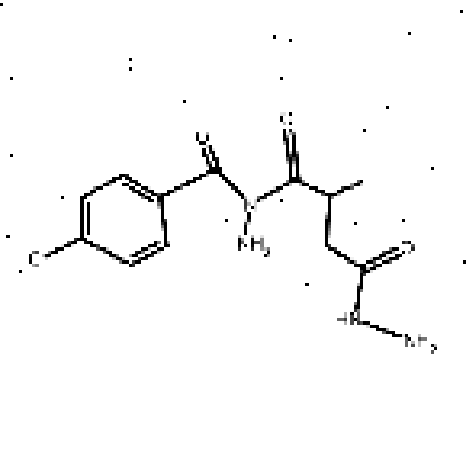 CC(CC(=O)NN)C(=O)N(N)C(=O)c1ccc(Cl)cc1